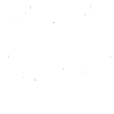 CCN(CC)CCCCc1ccccc1O.CCN(CC)CCc1ccccc1S.CN(C)CCc1ccc(O)c(CCN(C)C)c1.CN(C)Cc1ccccc1S